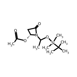 CC(=O)O[C@@H]1CC(=O)N1C(C)O[Si](C)(C)C(C)(C)C